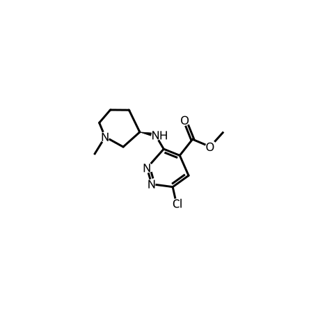 COC(=O)c1cc(Cl)nnc1N[C@@H]1CCCN(C)C1